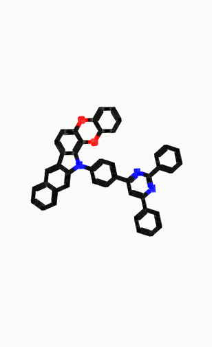 C1=CCC2Oc3c(ccc4c5cc6ccccc6cc5n(-c5ccc(-c6cc(-c7ccccc7)nc(-c7ccccc7)n6)cc5)c34)OC2=C1